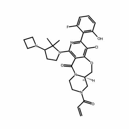 C=CC(=O)N1CCN2C(=O)c3c(N4CCC(N5CCC5)C4(C)C)nc(-c4c(O)cccc4F)c(Cl)c3OC[C@H]2C1